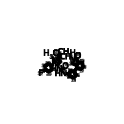 CC(C)(C)c1cc(NC(=O)Nc2cccc(-c3cccc4c3CNC4=O)c2)n(-c2ccc(F)cc2)n1